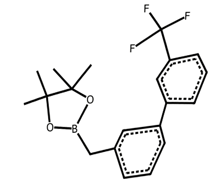 CC1(C)OB(Cc2cccc(-c3cccc(C(F)(F)F)c3)c2)OC1(C)C